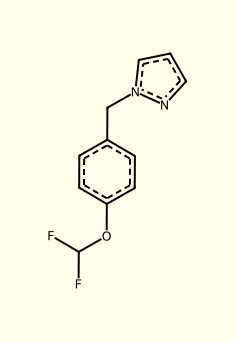 FC(F)Oc1ccc(Cn2cccn2)cc1